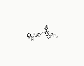 Cn1cnc(C(=O)N(Cc2cccc(OC(F)(F)F)c2)CC2C3CN(CC(=O)Nc4ccccn4)CC32)c1